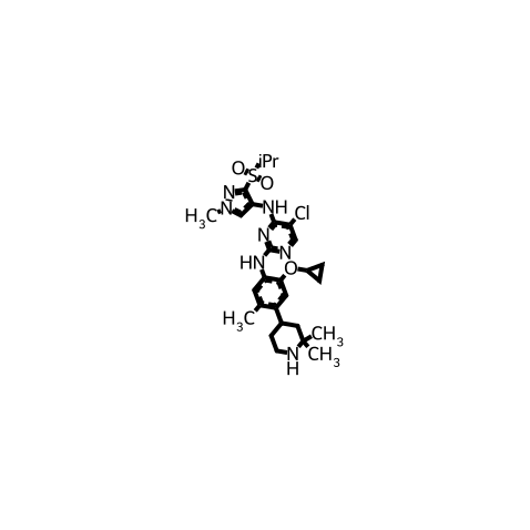 Cc1cc(Nc2ncc(Cl)c(Nc3cn(C)nc3S(=O)(=O)C(C)C)n2)c(OC2CC2)cc1C1CCNC(C)(C)C1